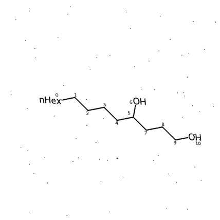 CCCCCCCCCCC(O)CCCO